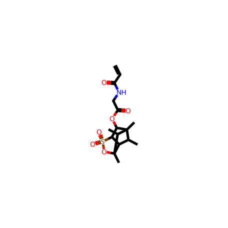 C=CC(=O)NCC(=O)OC1C2C3C(C)C1(C)C(C)C3(C)OS2(=O)=O